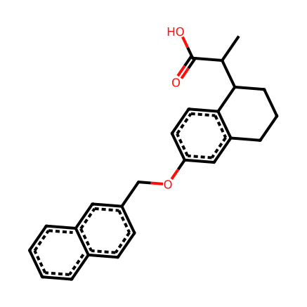 CC(C(=O)O)C1CCCc2cc(OCc3ccc4ccccc4c3)ccc21